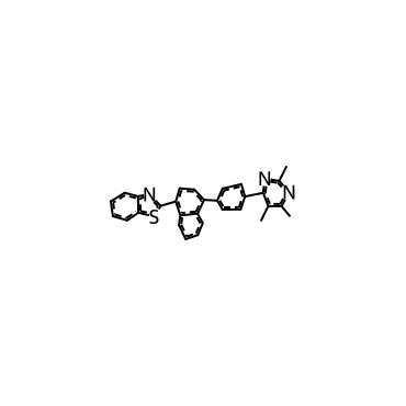 Cc1nc(C)c(C)c(-c2ccc(-c3ccc(-c4nc5ccccc5s4)c4ccccc34)cc2)n1